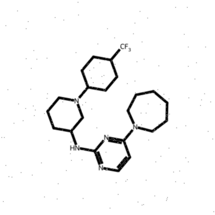 FC(F)(F)C1CCC(N2CCCC(Nc3nccc(N4CCCCCC4)n3)C2)CC1